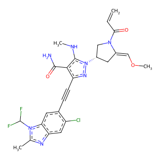 C=CC(=O)N1C[C@@H](n2nc(C#Cc3cc4c(cc3Cl)nc(C)n4C(F)F)c(C(N)=O)c2NC)C/C1=C\OC